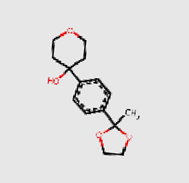 CC1(c2ccc(C3(O)CCOCC3)cc2)OCCO1